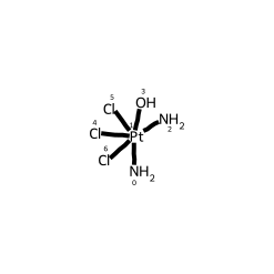 [NH2][Pt]([NH2])([OH])([Cl])([Cl])[Cl]